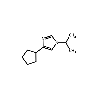 CC(C)n1cnc(C2CCCC2)c1